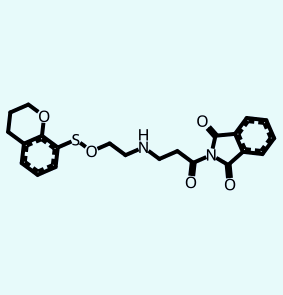 O=C(CCNCCOSc1cccc2c1OCCC2)N1C(=O)c2ccccc2C1=O